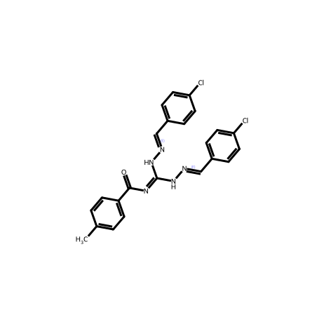 Cc1ccc(C(=O)N=C(N/N=C/c2ccc(Cl)cc2)N/N=C/c2ccc(Cl)cc2)cc1